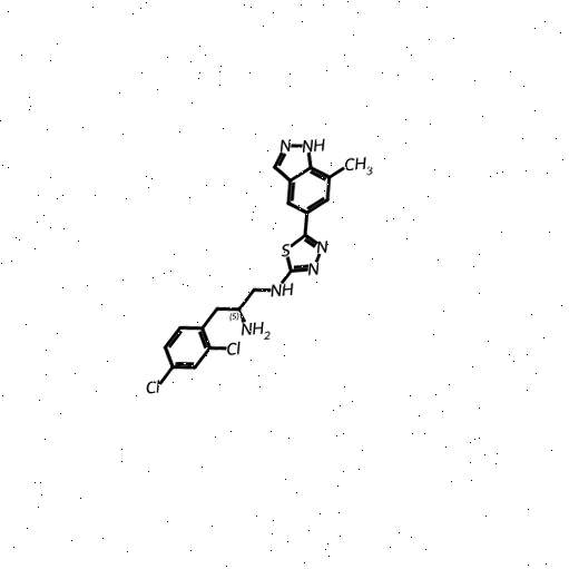 Cc1cc(-c2nnc(NC[C@@H](N)Cc3ccc(Cl)cc3Cl)s2)cc2cn[nH]c12